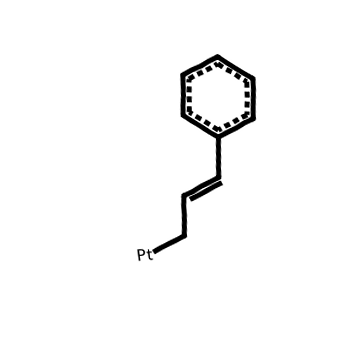 [Pt][CH2]C=Cc1ccccc1